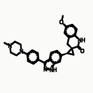 COc1ccc2c(c1)C[C@]1(C[C@H]1c1ccc3c(-c4ccc(N5CCN(C)CC5)cc4)n[nH]c3c1)C(=O)N2